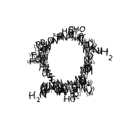 CCCC[C@H]1C(=O)N2CCC[C@@H]2C(=O)N[C@@H](COC=O)C(=O)N[C@@H](C(C)C)C(=O)N(C)[C@@H](Cc2ccccc2)C(=O)N[C@@H](CCCN)C(=O)N2CCC[C@@H]2C(=O)N[C@@H](Cc2c[nH]c3ccccc23)C(=O)N[C@@H](Cc2ccc(O)cc2)C(=O)N[C@@H](CC(C)C)C(=O)N[C@H](C(=O)NCC(N)=O)CSCC(=O)N[C@@H](Cc2cc(F)c(F)c(F)c2)C(=O)N(C)[C@@H](Cc2ccccc2)C(=O)N1C